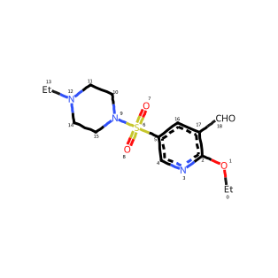 CCOc1ncc(S(=O)(=O)N2CCN(CC)CC2)cc1C=O